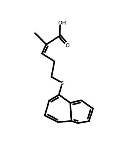 CC(=CCCSc1cccc2ccccc12)C(=O)O